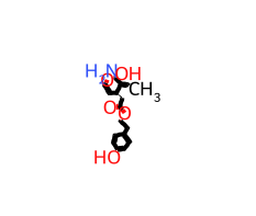 C/C=C1\[C@H](CC(=O)OCCc2ccc(O)cc2)C=COC1(N)O